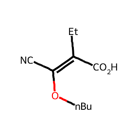 CCCCOC(C#N)=C(CC)C(=O)O